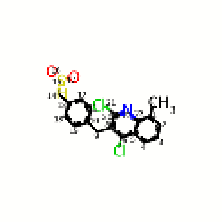 Cc1cccc2c(Cl)c(Cc3ccc(C[SH](=O)=O)cc3)c(Cl)nc12